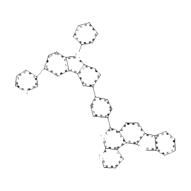 c1ccc(-n2c3ccc(-c4ccc(-c5nc6ncccc6c6c5ccc5c7ccccc7oc56)cc4)cc3c3cc(-c4cccnc4)ccc32)cc1